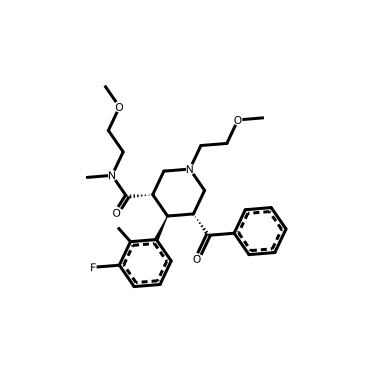 COCCN1C[C@H](C(=O)c2ccccc2)[C@@H](c2cccc(F)c2C)[C@H](C(=O)N(C)CCOC)C1